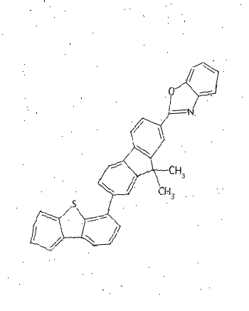 CC1(C)c2cc(-c3nc4ccccc4o3)ccc2-c2ccc(-c3cccc4c3sc3ccccc34)cc21